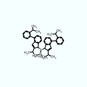 CC(C)C1=Cc2c(-c3ccccc3C(C)C)cccc2[CH]1[Zr]([CH]1C(C(C)C)=Cc2c(-c3ccccc3C(C)C)cccc21)[SiH](C)C